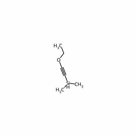 CCOC#C[SiH](C)C